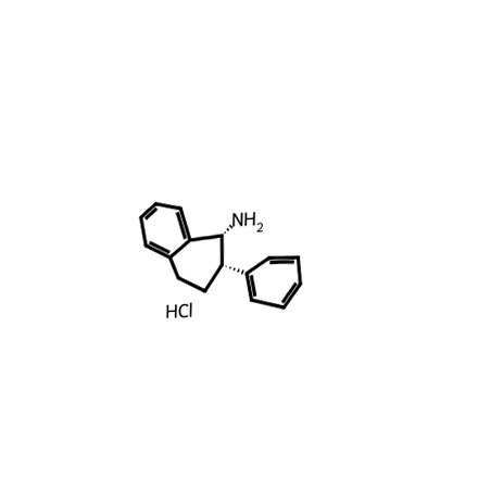 Cl.N[C@H]1c2ccccc2CC[C@H]1c1ccccc1